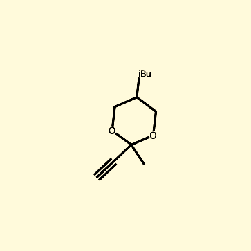 C#CC1(C)OCC(C(C)CC)CO1